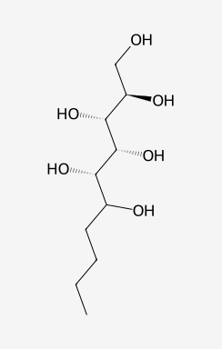 CCCCC(O)[C@H](O)[C@@H](O)[C@H](O)[C@H](O)CO